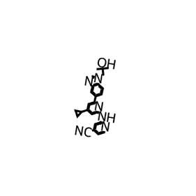 CC(C)(O)Cn1cnc2cc(-c3cc(C4CC4)cc(Nc4cc(C#N)ccn4)n3)ccc21